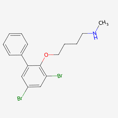 CNCCCCOc1c(Br)cc(Br)cc1-c1ccccc1